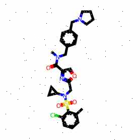 Cc1cccc(Cl)c1S(=O)(=O)N(Cc1nc(C(=O)N(C)Cc2ccc(CN3CCCC3)cc2)co1)C1CC1